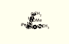 C=CC(=O)N1C[C@H]2CN(c3nc(Nc4ccc(N5CCN(C)CC5)cc4)c4ncn(C(C)C)c4n3)C[C@@]2(OC)C1